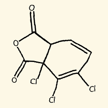 O=C1OC(=O)C2(Cl)C(Cl)=C(Cl)C=CC12